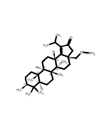 CC(C)C1=C2[C@H]3CC[C@@H]4[C@@]5(C)CC[C@H](C)C(C)(C)[C@@H]5CC[C@@]4(C)[C@]3(C)CC[C@@]2(COP)CC1=O